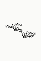 CCCCCCCCCOC(CCCCCCCCC)=C(COCOCOCC(OCCCCCCCCC)=C(CCCCCCCCC)OCCCCCCCCC)OCCCCCCCCC